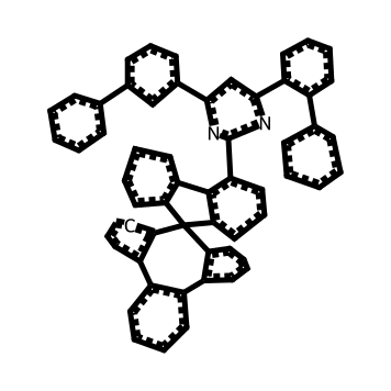 c1ccc(-c2cccc(-c3cc(-c4ccccc4-c4ccccc4)nc(-c4cccc5c4-c4ccccc4C54c5ccccc5-c5ccccc5-c5ccccc54)n3)c2)cc1